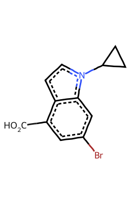 O=C(O)c1cc(Br)cc2c1ccn2C1CC1